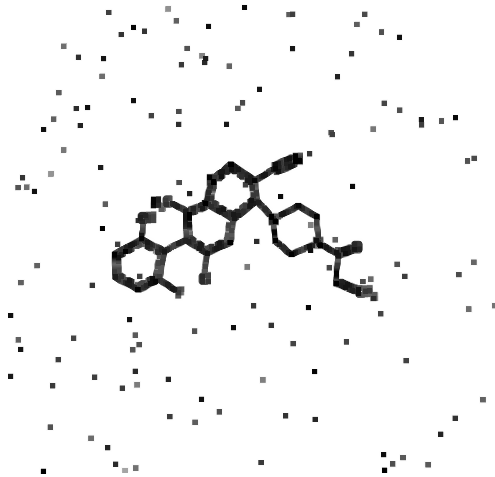 C=CC(=O)N1CCN(c2c(C#N)cnc3c(C)c(-c4c(O)cccc4F)c(Cl)cc23)CC1